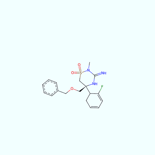 CN1C(=N)N[C@](COCc2ccccc2)(C2CC=CC=C2F)CS1(=O)=O